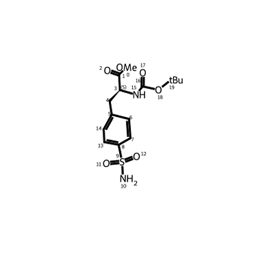 COC(=O)[C@H](Cc1ccc(S(N)(=O)=O)cc1)NC(=O)OC(C)(C)C